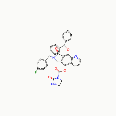 O=C1c2c(c(OC(=O)N3CCNC3=O)c3cccnc3c2OC(c2ccccc2)c2ccccc2)CN1Cc1ccc(F)cc1